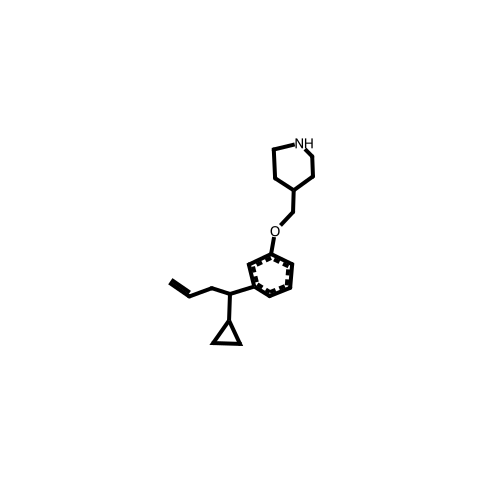 C=CCC(c1cccc(OCC2CCNCC2)c1)C1CC1